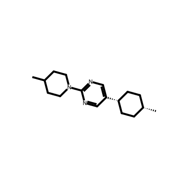 CC1CCN(c2ncc([C@H]3CC[C@@H](C)CC3)cn2)CC1